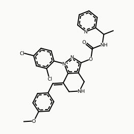 COc1ccc(/C=C2\CNCc3c(OC(=O)NC(C)c4ccccn4)nn(-c4ccc(Cl)cc4Cl)c32)cc1